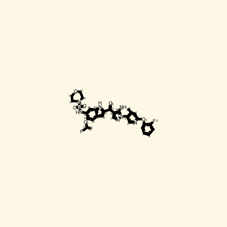 Cc1cc(Oc2ccccc2F)ncc1-n1ncc(C(=O)c2cc3cc(OC(F)F)c(NS(=O)(=O)N4CCOCC4)cc3[nH]2)c1N